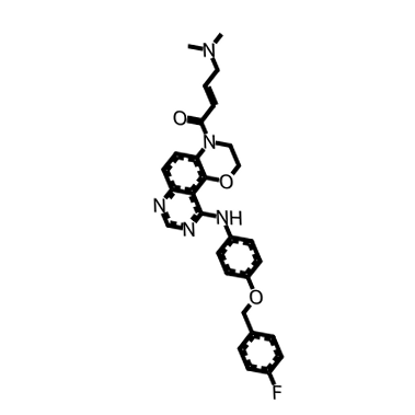 CN(C)C/C=C/C(=O)N1CCOc2c1ccc1ncnc(Nc3ccc(OCc4ccc(F)cc4)cc3)c21